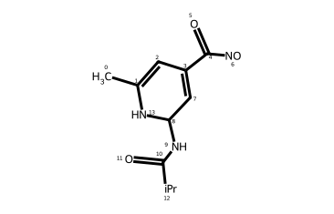 CC1=CC(C(=O)N=O)=CC(NC(=O)C(C)C)N1